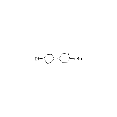 CCCCC1CCC([C@H]2CC[C@H](CC)CC2)CC1